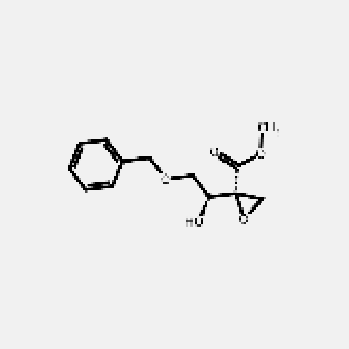 COC(=O)[C@]1([C@@H](O)COCc2ccccc2)CO1